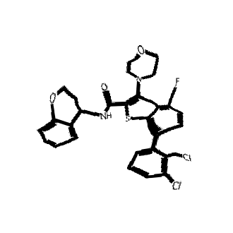 O=C(NC1CCOc2ccccc21)c1sc2c(-c3cccc(Cl)c3Cl)ccc(F)c2c1N1CCOCC1